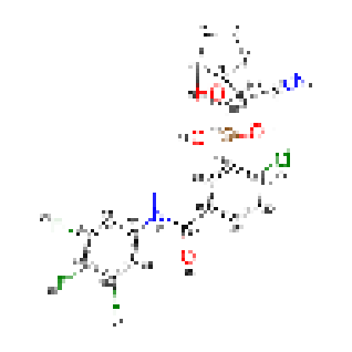 N#CC[C@]1(O)C2CCC1C[C@@H](S(=O)(=O)c1cc(C(=O)Nc3cc(F)c(F)c(F)c3)ccc1Cl)C2